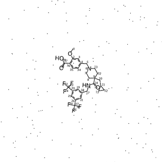 COc1cc(CN2CCC(CC3CC3)(C(=O)NCc3cc(C(F)(F)F)cc(C(F)(F)F)c3)CC2)ccc1C(=O)O